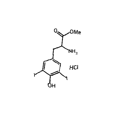 COC(=O)C(N)Cc1cc(I)c(O)c(I)c1.Cl